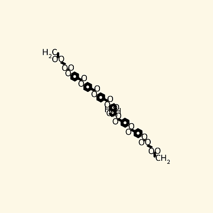 C=CC(=O)OCCOC(=O)Oc1ccc(C(=O)Oc2ccc(C(=O)Oc3ccc(C(=O)O[C@@H]4CO[C@@H]5[C@H]4OC[C@H]5OC(=O)c4ccc(OC(=O)c5ccc(OC(=O)OCCOC(=O)C=C)cc5)cc4)cc3)cc2)cc1